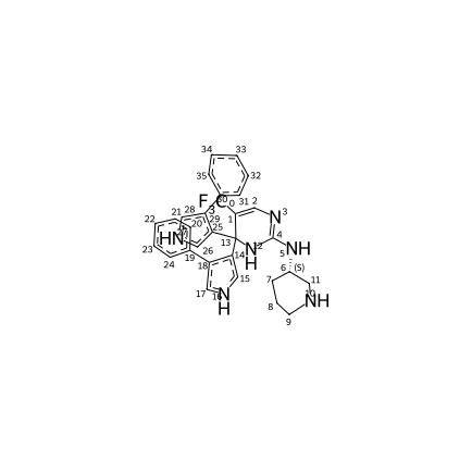 FC(F)(F)C1=CN=C(N[C@H]2CCCNC2)NC1(c1c[nH]cc1-c1ccccc1)c1c[nH]cc1-c1ccccc1